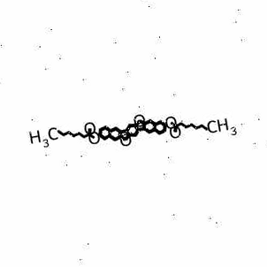 CCCCCCCC(=O)Oc1ccc2cc3c(cc2c1)oc1cc2c(cc13)oc1cc3cc(OC(=O)CCCCCCC)ccc3cc12